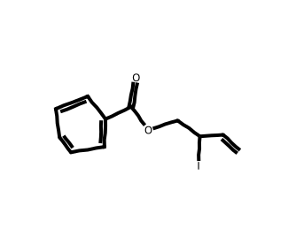 C=CC(I)COC(=O)c1ccccc1